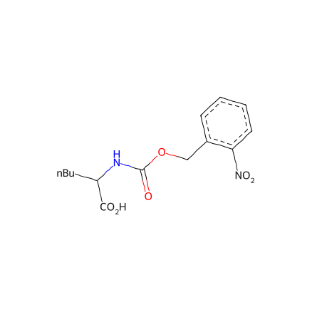 CCCCC(NC(=O)OCc1ccccc1[N+](=O)[O-])C(=O)O